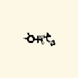 Cc1cc(C(C)(C)C(=O)NC2(CN3CCC3)CC2)ccc1F